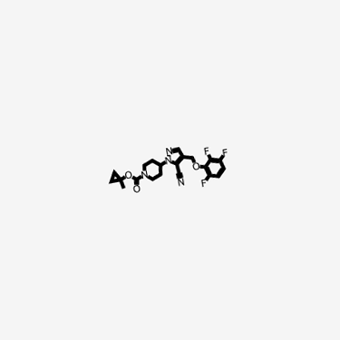 CC1(OC(=O)N2CCC(n3ncc(COc4c(F)ccc(F)c4F)c3C#N)CC2)CC1